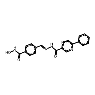 O=C(NO)c1ccc(C=NNC(=O)c2cnc(-c3ccccc3)cn2)cc1